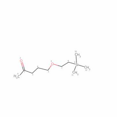 CC(=O)CCCOCC[Si](C)(C)C